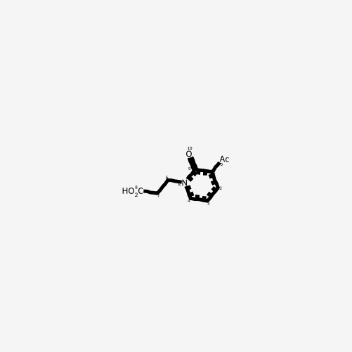 CC(=O)c1cccn(CCC(=O)O)c1=O